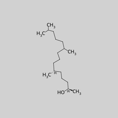 CC(C)CCCC(C)CCC[C@@H](C)CCC[C@@H](C)O